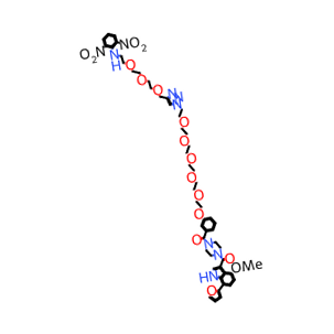 COc1ccc(-c2ccco2)c2[nH]cc(C(=O)N3CCN(C(=O)c4cccc(OCCOCCOCCOCCOCCOCCn5cc(COCCOCCOCCNc6c([N+](=O)[O-])cccc6[N+](=O)[O-])nn5)c4)CC3)c12